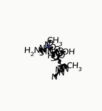 CO/N=C(\C(=O)N[C@@H]1C(=O)N2C(OC(=O)O)=C(CSc3cc(C)nc4nc(C#N)nn34)CS[C@H]12)c1csc(N)n1